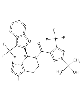 CC(C)(O)c1nc(C(F)(F)F)c(C(=O)N2CCc3[nH]cnc3[C@H]2c2oc3ccccc3c2C(F)(F)F)o1